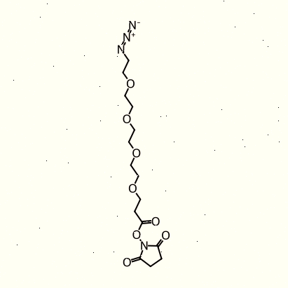 [N-]=[N+]=NCCOCCOCCOCCOCCC(=O)ON1C(=O)CCC1=O